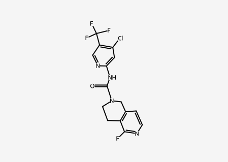 O=C(Nc1cc(Cl)c(C(F)(F)F)cn1)N1CCc2c(ccnc2F)C1